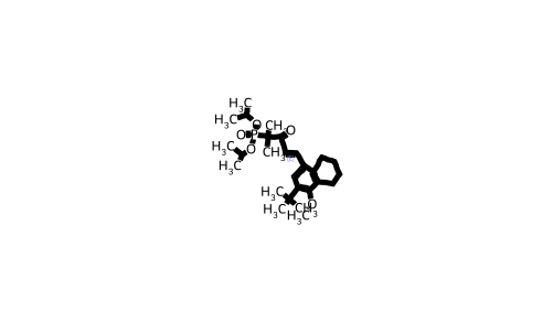 COc1c(C(C)(C)C)cc(/C=C/C(=O)C(C)(C)P(=O)(OC(C)C)OC(C)C)c2c1CCCC2